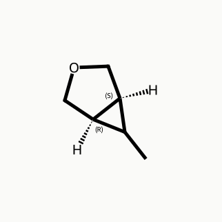 CC1[C@H]2COC[C@@H]12